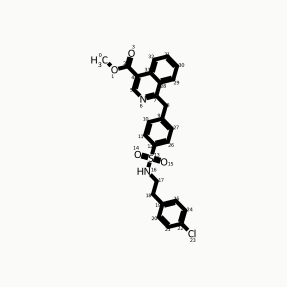 COC(=O)c1cnc(Cc2ccc(S(=O)(=O)NCCc3ccc(Cl)cc3)cc2)c2ccccc12